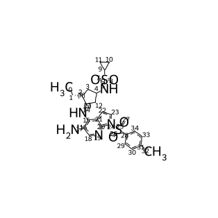 CC[C@@H]1CC(NS(=O)(=O)C2CC2)C[C@@H]1Nc1c(N)cnc2c1ccn2S(=O)(=O)c1ccc(C)cc1